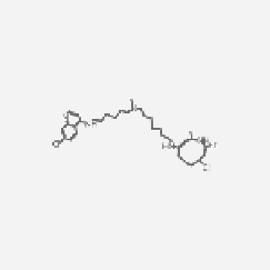 CCC1CC(Cl)CCC/C(NCCCCCCCN(C)CCCCCCNc2ccnc3cc(Cl)ccc23)=C\C(C)N1